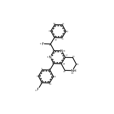 Fc1ccc(-c2nc(C(F)c3ccccc3)nc3c2CNCC3)cc1